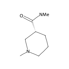 CNC(=O)[C@@H]1CCCN(C)C1